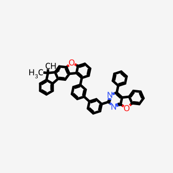 CC1(C)c2ccccc2-c2cc3c(cc21)oc1cccc(-c2cccc(-c4cccc(-c5nc(-c6ccccc6)c6c(n5)oc5ccccc56)c4)c2)c13